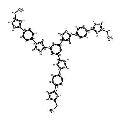 CCc1nc(-c2ccc(-c3nc(-c4cc(-c5noc(-c6ccc(-c7noc(CC)n7)cc6)n5)cc(-c5noc(-c6ccc(-c7noc(CC)n7)cc6)n5)c4)no3)cc2)no1